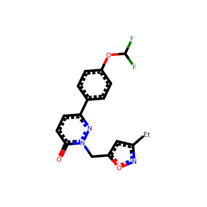 CCc1cc(Cn2nc(-c3ccc(OC(F)F)cc3)ccc2=O)on1